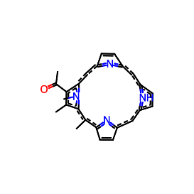 CC(=O)c1c(C)c2c(C)c3nc(cc4ccc(cc5nc(cc1n2C)C=C5)[nH]4)C=C3